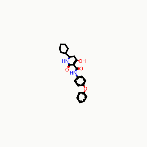 O=C(Nc1ccc(Oc2ccccc2)cc1)C1=C(O)CC(C2CCCCC2)NC1=O